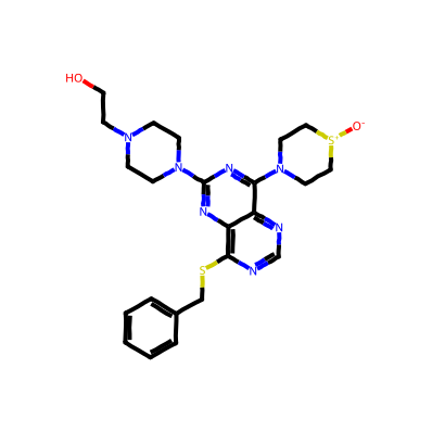 [O-][S+]1CCN(c2nc(N3CCN(CCO)CC3)nc3c(SCc4ccccc4)ncnc23)CC1